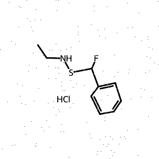 CCNSC(F)c1ccccc1.Cl